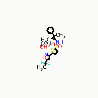 C[C@H]1[C@H](NS(=O)(=O)c2ccc(-c3cc(C(C)(F)F)on3)s2)[C@@]1(C)c1ccccc1.O=C(O)O